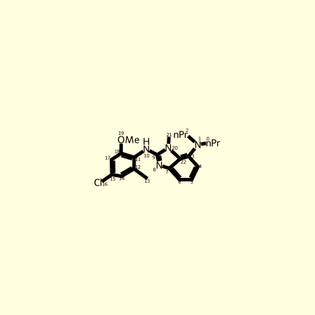 CCCN(CCC)c1cccc2nc(Nc3c(C)cc(Cl)cc3OC)n(C)c12